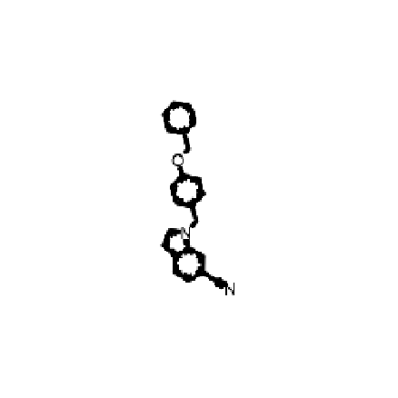 N#Cc1ccc2ccn(Cc3ccc(OCc4ccccc4)cc3)c2c1